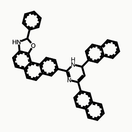 C1=C(c2ccc3ccccc3c2)N=C(c2ccc3c(ccc4ccc5c(c43)OC(c3ccccc3)N5)c2)NC1c1ccc2ccccc2c1